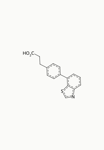 O=C(O)CCc1ccc(-c2cccc3ncsc23)cc1